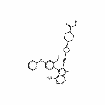 C=CC(=O)N1CCC(N2CC(C#Cc3c(-c4ccc(Oc5ccccc5)cc4OC)c4c(N)ncnc4n3C)C2)CC1